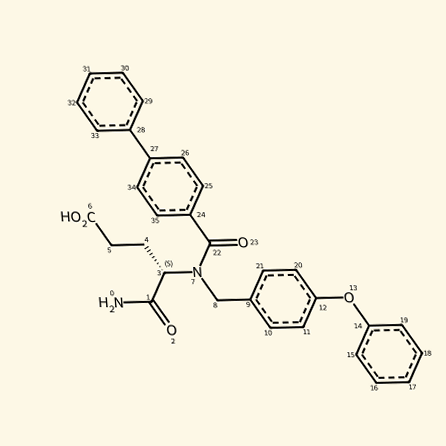 NC(=O)[C@H](CCC(=O)O)N(Cc1ccc(Oc2ccccc2)cc1)C(=O)c1ccc(-c2ccccc2)cc1